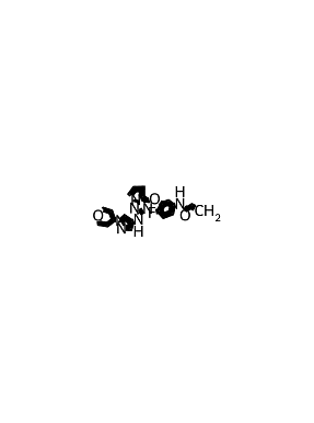 C=CC(=O)Nc1ccc(F)c(Oc2nc(Nc3cnn(C4CCOCC4)c3)nn3cccc23)c1